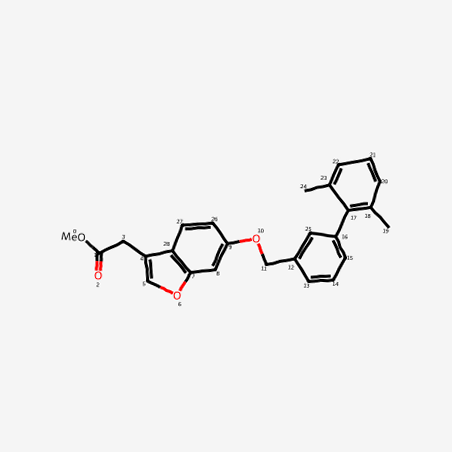 COC(=O)Cc1coc2cc(OCc3cccc(-c4c(C)cccc4C)c3)ccc12